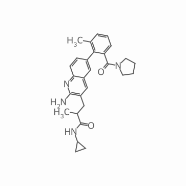 Cc1cccc(C(=O)N2CCCC2)c1-c1ccc2nc(N)c(CC(C)C(=O)NC3CC3)cc2c1